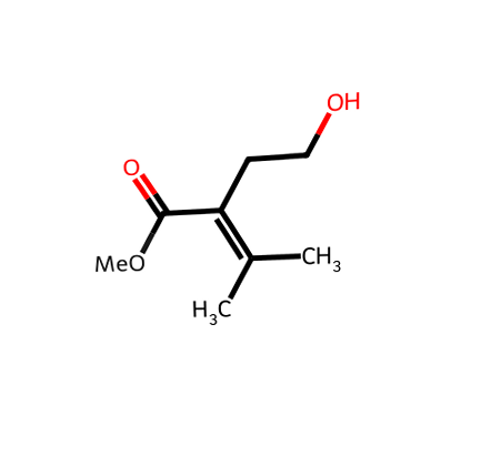 COC(=O)C(CCO)=C(C)C